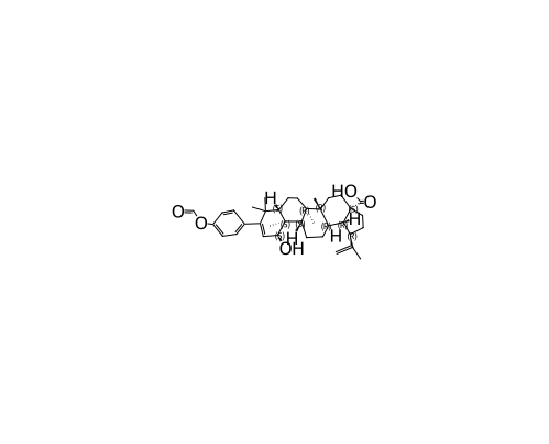 C=C(C)[C@@H]1CC[C@]2(C(=O)O)CC[C@]3(C)[C@H](CC[C@@H]4[C@@]5(C)[C@@H](O)C=C(c6ccc(OC=O)cc6)C(C)(C)[C@@H]5CC[C@]43C)[C@@H]12